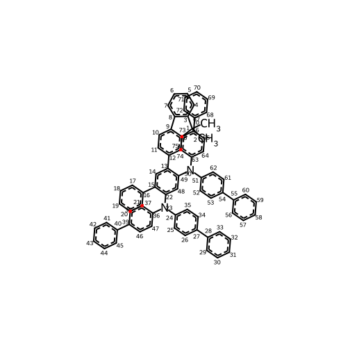 CC1(C)c2ccccc2-c2ccc(-c3cc(-c4ccccc4)c(N(c4ccc(-c5ccccc5)cc4)c4ccc(-c5ccccc5)cc4)cc3N(c3ccc(-c4ccccc4)cc3)c3ccc(-c4ccccc4)cc3)cc21